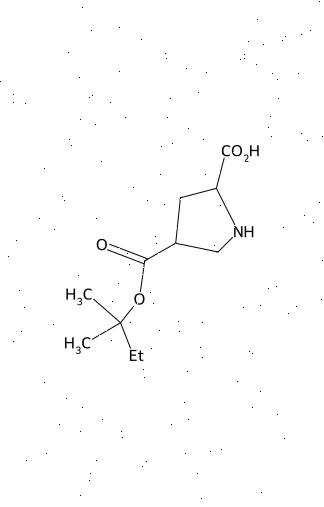 CCC(C)(C)OC(=O)C1CNC(C(=O)O)C1